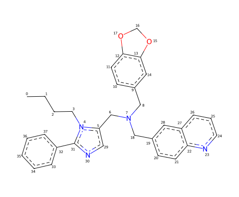 CCCCn1c(CN(Cc2ccc3c(c2)OCO3)Cc2ccc3ncccc3c2)cnc1-c1ccccc1